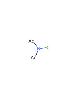 CC(=O)N(Cl)C(C)=O